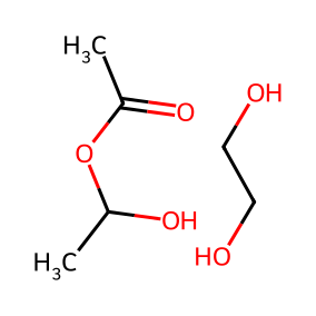 CC(=O)OC(C)O.OCCO